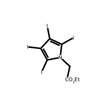 CCOC(=O)Cn1c(I)c(I)c(I)c1I